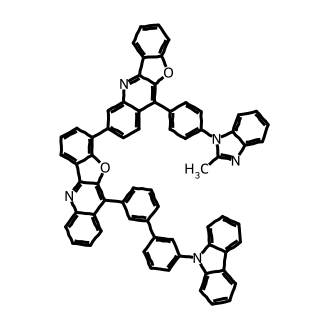 Cc1nc2ccccc2n1-c1ccc(-c2c3ccc(-c4cccc5c4oc4c(-c6cccc(-c7cccc(-n8c9ccccc9c9ccccc98)c7)c6)c6ccccc6nc45)cc3nc3c2oc2ccccc23)cc1